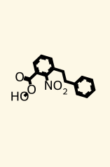 O=C(OO)c1cccc(CCc2ccccc2)c1[N+](=O)[O-]